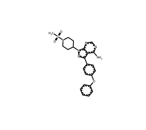 CS(=O)(=O)N1CCC(n2nc(-c3ccc(Oc4ccccc4)cc3)c3c(N)ncnc32)CC1